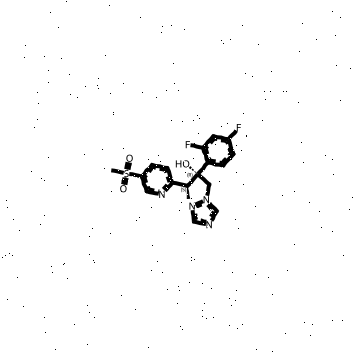 C[C@@H](c1ccc(S(C)(=O)=O)cn1)[C@](O)(Cn1cncn1)c1ccc(F)cc1F